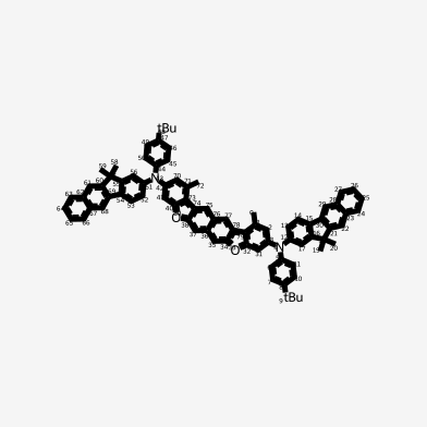 Cc1cc(N(c2ccc(C(C)(C)C)cc2)c2ccc3c(c2)C(C)(C)c2cc4ccccc4cc2-3)cc2oc3cc4cc5oc6cc(N(c7ccc(C(C)(C)C)cc7)c7ccc8c(c7)C(C)(C)c7cc9ccccc9cc7-8)cc(C)c6c5cc4cc3c12